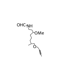 CC#CCOCC(C)CCCC(CCNC=O)OC